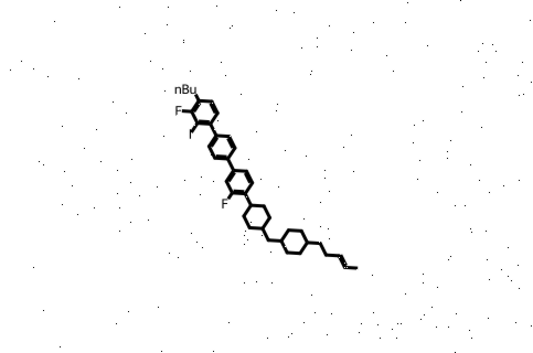 C/C=C/CCC1CCC(CC2CCC(c3ccc(-c4ccc(-c5ccc(CCCC)c(F)c5I)cc4)cc3F)CC2)CC1